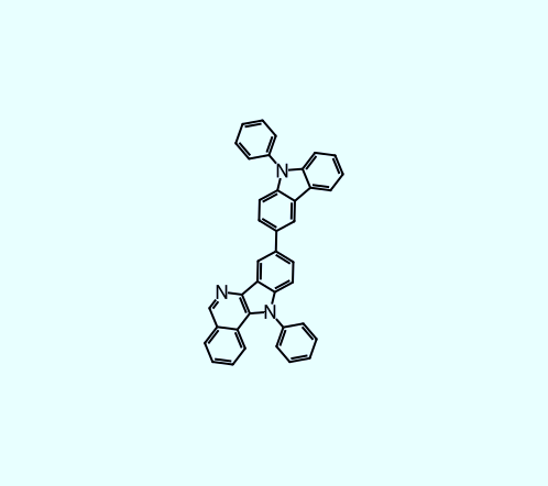 c1ccc(-n2c3ccccc3c3cc(-c4ccc5c(c4)c4ncc6ccccc6c4n5-c4ccccc4)ccc32)cc1